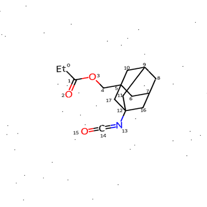 CCC(=O)OCC12CC3CC(C1)CC(N=C=O)(C3)C2